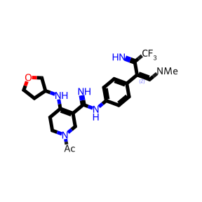 CN/C=C(\C(=N)C(F)(F)F)c1ccc(NC(=N)C2=C(NC3CCOC3)CCN(C(C)=O)C2)cc1